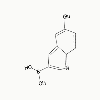 CC(C)(C)c1ccc2ncc(B(O)O)cc2c1